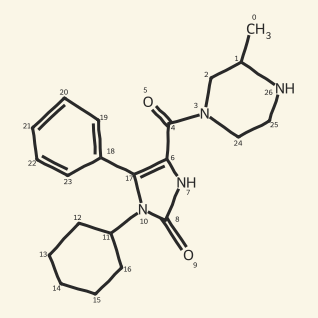 CC1CN(C(=O)c2[nH]c(=O)n(C3CCCCC3)c2-c2ccccc2)CCN1